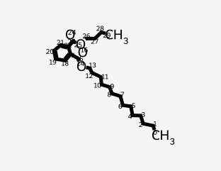 CCCCCCCCCCCCCCOC(=O)c1ccccc1C(=O)OCCCC